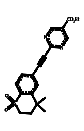 CCOC(=O)c1cnc(C#Cc2ccc3c(c2)C(C)(C)CCS3(=O)=O)nc1